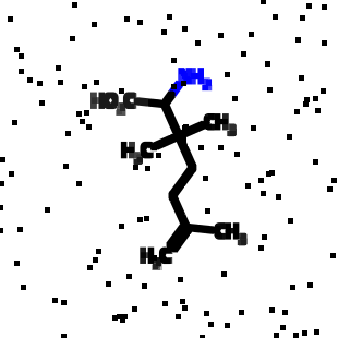 C=C(C)CCC(C)(C)C(N)C(=O)O